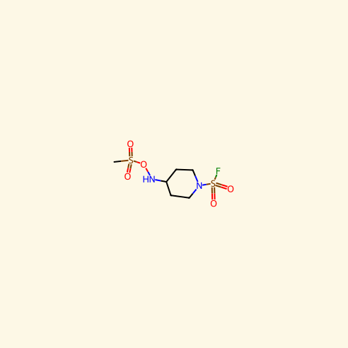 CS(=O)(=O)ONC1CCN(S(=O)(=O)F)CC1